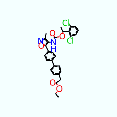 CCOC(=O)Cc1ccc(-c2ccc(-c3onc(C)c3NC(=O)OC(C)c3c(Cl)cccc3Cl)cc2)cc1